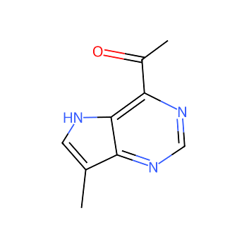 CC(=O)c1ncnc2c(C)c[nH]c12